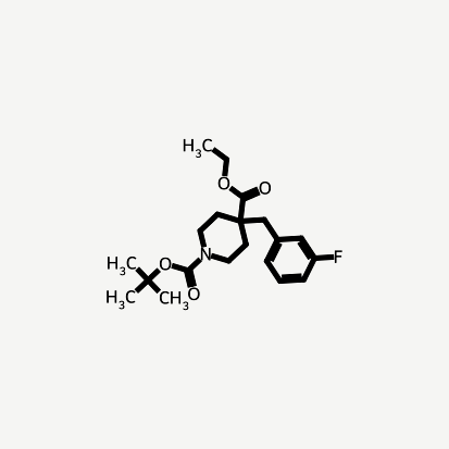 CCOC(=O)C1(Cc2cccc(F)c2)CCN(C(=O)OC(C)(C)C)CC1